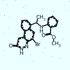 COC(=O)c1ccccc1NC(C)c1cccc2c1cc(Br)c1n[nH]c(=O)cc12